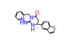 C[C@@]1(c2ccc3sccc3c2)CC(=O)N(Cc2ccccn2)C(=N)N1